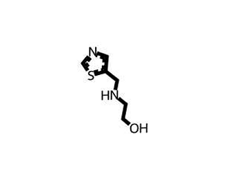 OCCNCc1cncs1